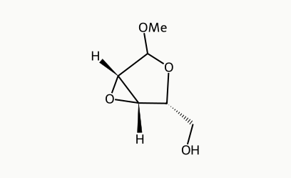 COC1O[C@H](CO)[C@@H]2O[C@H]12